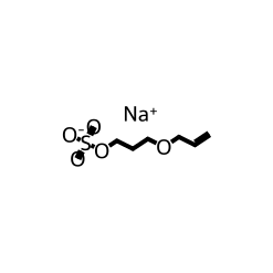 C=CCOCCCOS(=O)(=O)[O-].[Na+]